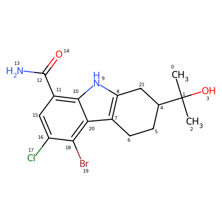 CC(C)(O)C1CCc2c([nH]c3c(C(N)=O)cc(Cl)c(Br)c23)C1